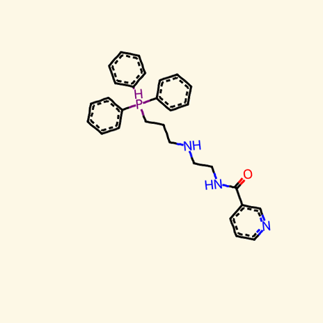 O=C(NCCNCCC[PH](c1ccccc1)(c1ccccc1)c1ccccc1)c1cccnc1